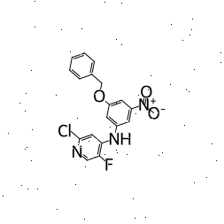 O=[N+]([O-])c1cc(Nc2cc(Cl)ncc2F)cc(OCc2ccccc2)c1